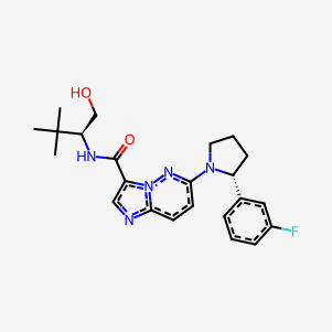 CC(C)(C)[C@@H](CO)NC(=O)c1cnc2ccc(N3CCC[C@@H]3c3cccc(F)c3)nn12